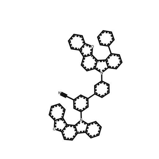 N#Cc1cc(-c2cccc(-n3c4cccc(-c5ccccc5)c4c4c5oc6ccccc6c5ccc43)c2)cc(-n2c3ccccc3c3ccc4oc5ccccc5c4c32)c1